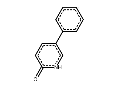 O=c1ccc(-c2cc[c]cc2)c[nH]1